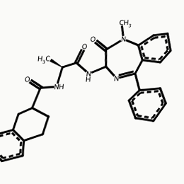 C[C@H](NC(=O)C1CCc2ccccc2C1)C(=O)NC1N=C(c2ccccc2)c2ccccc2N(C)C1=O